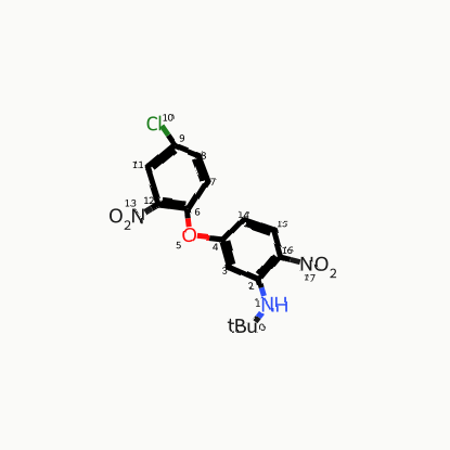 CC(C)(C)Nc1cc(Oc2ccc(Cl)cc2[N+](=O)[O-])ccc1[N+](=O)[O-]